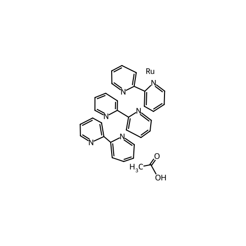 CC(=O)O.[Ru].c1ccc(-c2ccccn2)nc1.c1ccc(-c2ccccn2)nc1.c1ccc(-c2ccccn2)nc1